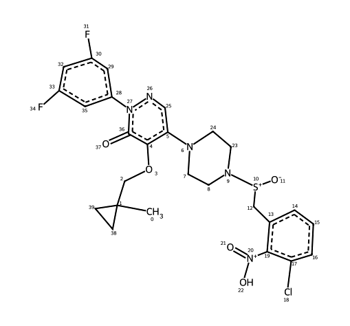 CC1(COc2c(N3CCN([S+]([O-])Cc4cccc(Cl)c4[N+](=O)O)CC3)cnn(-c3cc(F)cc(F)c3)c2=O)CC1